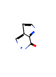 O=C1N=NC=C2C=CN=C12